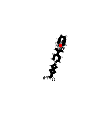 CC(C)C(=O)C1CC2(C1)CC(N1CCC(c3cnc(N4C5CCC4CN(C(C)C)C5)nc3)CC1)C2